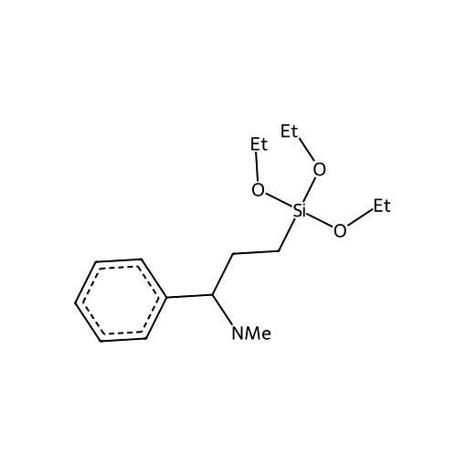 CCO[Si](CCC(NC)c1ccccc1)(OCC)OCC